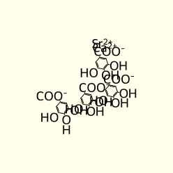 O=C([O-])c1cc(O)c(O)c(O)c1.O=C([O-])c1cc(O)c(O)c(O)c1.O=C([O-])c1cc(O)c(O)c(O)c1.O=C([O-])c1cc(O)c(O)c(O)c1.[Ca+2].[Sr+2]